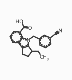 CCC1CCc2c1n(Cc1cccc(C#N)c1)c1c(C(=O)O)cccc21